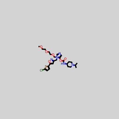 COCCOCCOC[N+]1(Cc2cc(-c3ccc(Cl)s3)on2)C=NC=C1OC(=O)NC1CCN(C(C)C)CC1